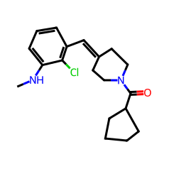 CNc1cccc(C=C2CCN(C(=O)C3CCCC3)CC2)c1Cl